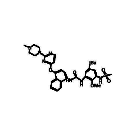 COc1c(NC(=O)Nc2ccc(Oc3ccnc(N4CCN(C)CC4)n3)c3ccccc23)cc(C(C)(C)C)cc1NS(C)(=O)=O